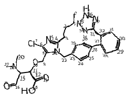 CCCCc1nc(Cl)c(COC(C(=O)O)C(C=O)N(C)C)n1Cc1ccc(-c2ccccc2-c2nn[nH]n2)cc1